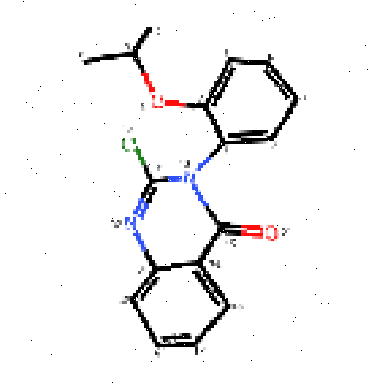 CC(C)Oc1ccccc1-n1c(Cl)nc2ccccc2c1=O